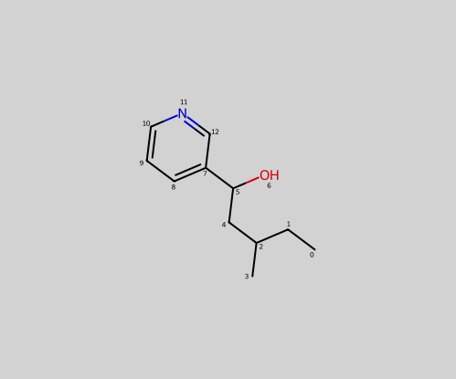 CCC(C)CC(O)c1cccnc1